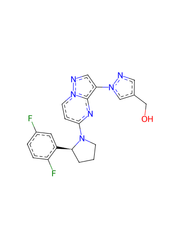 OCc1cnn(-c2cnn3ccc(N4CCC[C@H]4c4cc(F)ccc4F)nc23)c1